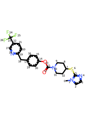 Cn1ccnc1SC1CCN(C(=O)Oc2ccc(Cc3ccc(C(F)(F)F)cn3)cc2)CC1